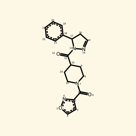 O=C(c1ccon1)N1CCC(C(=O)N2N=CCC2c2ccccc2)CC1